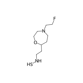 FCCN1CCOC(CCNS)CC1